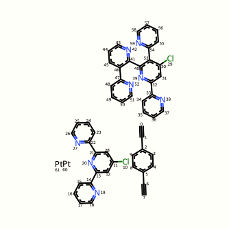 C#Cc1ccc(C#C)cc1.Clc1cc(-c2ccccn2)nc(-c2ccccn2)c1.Clc1cc(-c2ccccn2)nc(-c2ncccc2-c2ccccn2)c1-c1ccccn1.[Pt].[Pt]